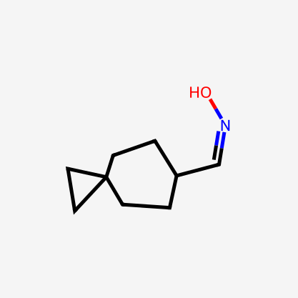 O/N=C\C1CCC2(CC1)CC2